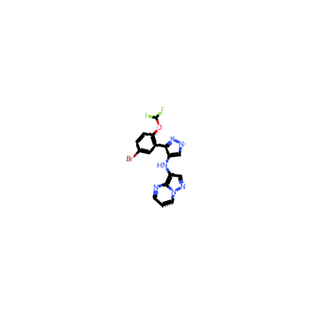 FC(F)Oc1ccc(Br)cc1C1=N[N]C=C1Nc1cnn2cccnc12